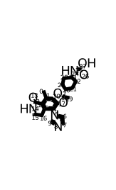 Cc1c2c(c(-n3ccnc3)c3c1C(=O)NCC3)OC(C)([C@H]1CC[C@H](NC(=O)O)CC1)O2